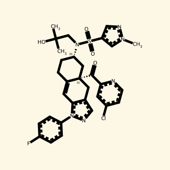 Cn1cc(S(=O)(=O)N(CC(C)(C)O)[C@H]2CCC3=Cc4c(cnn4-c4ccc(F)cc4)C[C@]3(C(=O)c3cc(Cl)ccn3)C2)cn1